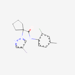 O=C(Nc1ccc(C(F)(F)F)cc1Cl)C1(n2cc(I)cn2)CCCC1